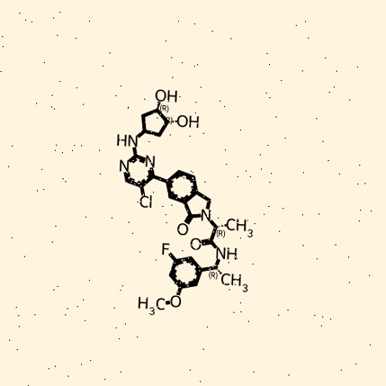 COc1cc(F)cc([C@@H](C)NC(=O)[C@@H](C)N2Cc3ccc(-c4nc(NC5C[C@@H](O)[C@H](O)C5)ncc4Cl)cc3C2=O)c1